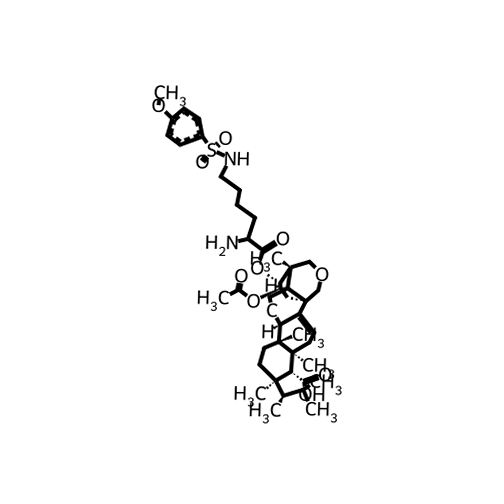 COc1ccc(S(=O)(=O)NCCCCC(N)C(=O)O[C@H]2[C@H](OC(C)=O)C[C@@]34COC[C@]2(C)[C@@H]3CC[C@H]2C4=CC[C@@]3(C)[C@H](C(=O)O)[C@@](C)([C@H](C)C(C)C)CC[C@]23C)cc1